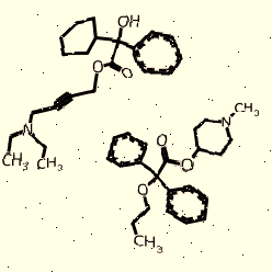 CCCOC(C(=O)OC1CCN(C)CC1)(c1ccccc1)c1ccccc1.CCN(CC)CC#CCOC(=O)C(O)(c1ccccc1)C1CCCCC1